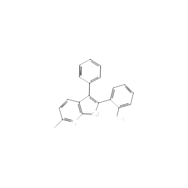 Cc1ccc2c(-c3ccccc3)c(-c3ccccc3O)[nH]c2n1